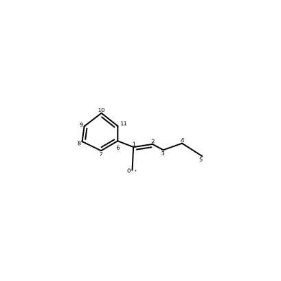 [CH2]C(=CCCC)c1ccccc1